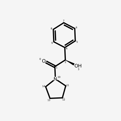 O=C([C@H](O)c1ccccc1)N1C[CH]CC1